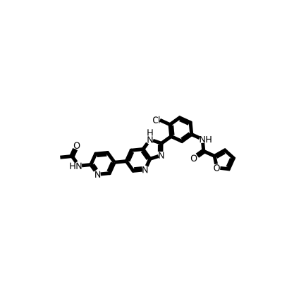 CC(=O)Nc1ccc(-c2cnc3nc(-c4cc(NC(=O)c5ccco5)ccc4Cl)[nH]c3c2)cn1